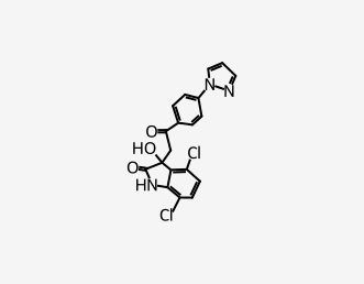 O=C(CC1(O)C(=O)Nc2c(Cl)ccc(Cl)c21)c1ccc(-n2cccn2)cc1